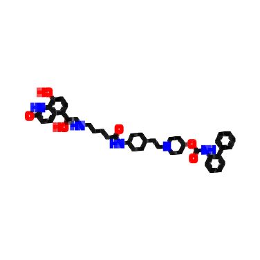 O=C(CCCCNC[C@@H](O)c1ccc(O)c2[nH]c(=O)ccc12)NC1CCC(CCN2CCC(OC(=O)Nc3ccccc3-c3ccccc3)CC2)CC1